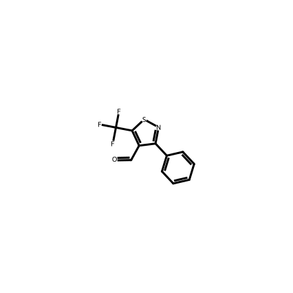 O=Cc1c(-c2ccccc2)nsc1C(F)(F)F